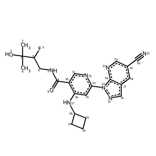 CC(C)(O)C(F)CNC(=O)c1cnc(-n2ncc3cc(C#N)cnc32)cc1NC1CCC1